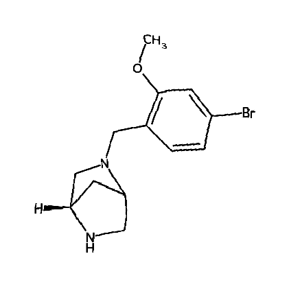 COc1cc(Br)ccc1CN1C[C@@H]2CC1CN2